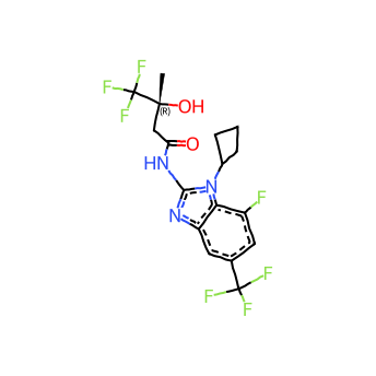 C[C@@](O)(CC(=O)Nc1nc2cc(C(F)(F)F)cc(F)c2n1C1CCC1)C(F)(F)F